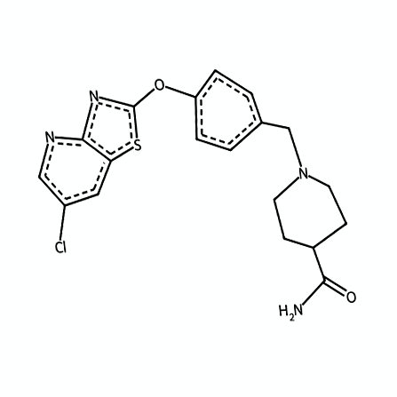 NC(=O)C1CCN(Cc2ccc(Oc3nc4ncc(Cl)cc4s3)cc2)CC1